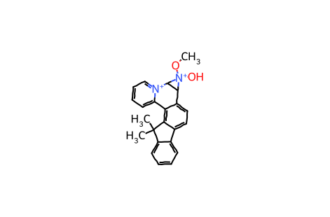 CO[N+]1(O)C2c3ccc4c(c3-c3cccc[n+]3C21)C(C)(C)c1ccccc1-4